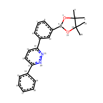 CC1(C)OB(c2cccc(-c3ccc(-c4ccccc4)nn3)c2)OC1(C)C